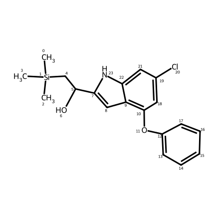 C[Si](C)(C)CC(O)c1cc2c(Oc3ccccc3)cc(Cl)cc2[nH]1